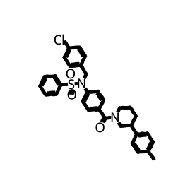 Cc1ccc(C2CCCN(C(=O)c3ccc(N(Cc4ccc(Cl)cc4)S(=O)(=O)c4ccccc4)cc3)C2)cc1